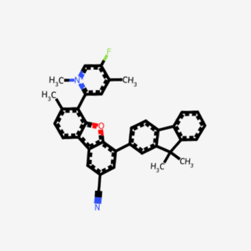 Cc1cc(-c2c(C)ccc3c2oc2c(-c4ccc5c(c4)C(C)(C)c4ccccc4-5)cc(C#N)cc23)[n+](C)cc1F